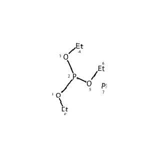 CCOP(OCC)OCC.[P]